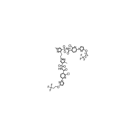 Cc1nn(CCc2nn(C)cc2S(=O)(=O)NC(=O)c2ccc(-n3ccc(O[C@H]4C[C@H]4C(F)(F)F)n3)nc2Cl)cc1S(=O)(=O)NC(=O)c1ccc(-n2ccc(OCCC(F)(F)F)n2)nc1Cl